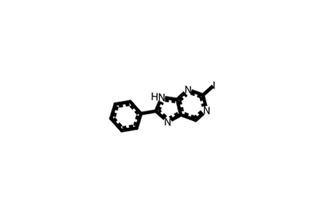 Ic1ncc2nc(-c3ccccc3)[nH]c2n1